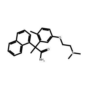 Cc1ccc(OCCN(C)C)cc1C(C)(C(N)=O)c1cccc2ccccc12